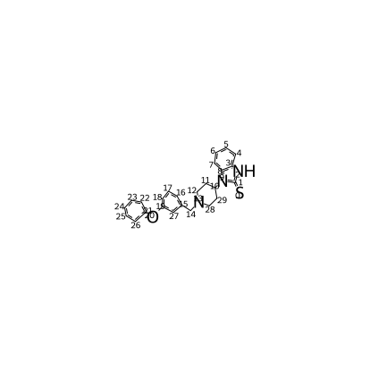 S=c1[nH]c2ccccc2n1C1CCN(Cc2cccc(Oc3ccccc3)c2)CC1